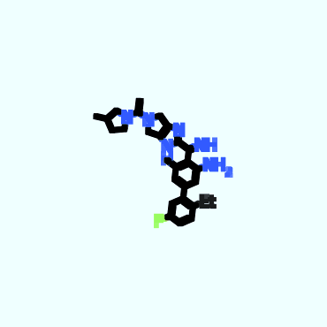 C=C(N1Cc2nc(C(=N)c3c(C)cc(-c4cc(F)ccc4CC)cc3N)[nH]c2C1)N1CCC(C)C1